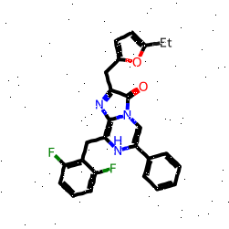 CCc1ccc(Cc2nc3c(Cc4c(F)cccc4F)[nH]c(-c4ccccc4)cn-3c2=O)o1